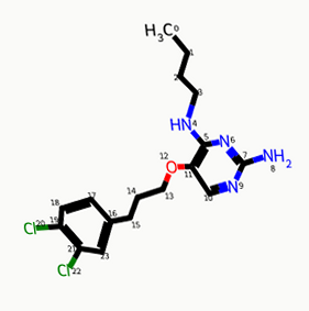 CCCCNc1nc(N)ncc1OCCCc1ccc(Cl)c(Cl)c1